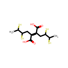 CC(S)C(S)CC(C(=O)O)=C(CC(S)C(C)S)C(=O)O